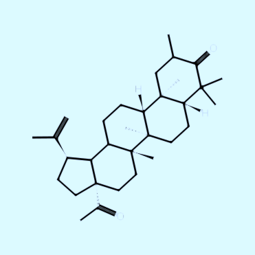 C=C(C)[C@@H]1CC[C@]2(C(C)=O)CC[C@]3(C)C(CC[C@@H]4[C@@]5(C)CC(C)C(=O)C(C)(C)[C@@H]5CC[C@]43C)C12